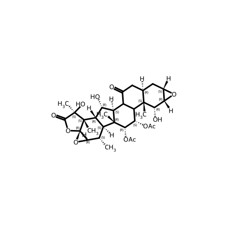 CC(=O)O[C@H]1C2C(C(=O)C[C@H]3C[C@@H]4O[C@@H]4[C@H](O)[C@]23C)[C@@H]2[C@@H](O)[C@@H]3[C@H]([C@H](C)[C@H]4O[C@]45OC(=O)[C@@](C)(O)[C@]35C)[C@@]2(C)[C@H]1OC(C)=O